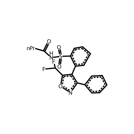 CCCC(=O)NS(=O)(=O)c1ccccc1-c1c(-c2ccccc2)noc1C(F)F